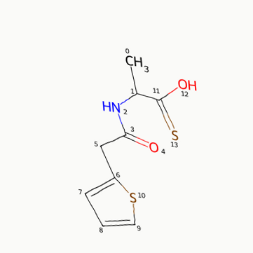 CC(NC(=O)Cc1cccs1)C(O)=S